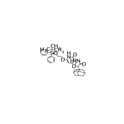 CC(C)(C)[Si](OCCOc1cc(OC(C(N)=O)C23CC4CC(CC(C4)C2)C3)nc(=O)[nH]1)(c1ccccc1)c1ccccc1